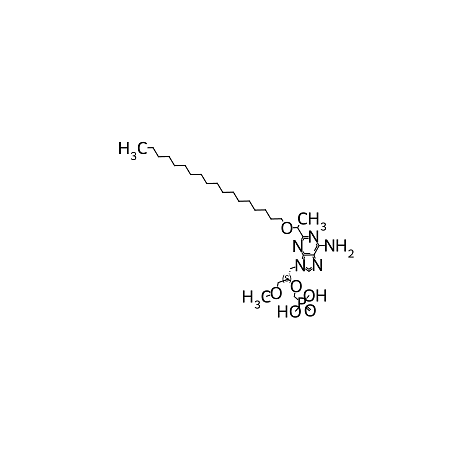 CCCCCCCCCCCCCCCCCCOC(C)c1nc(N)c2ncn(C[C@@H](COC)OCP(=O)(O)O)c2n1